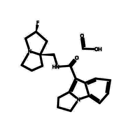 O=C(NC[C@@]12CCCN1C[C@@H](F)C2)c1c2n(c3ccccc13)CCC2.O=CO